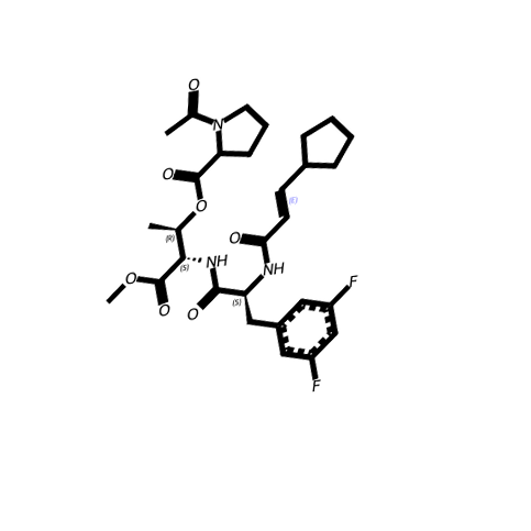 COC(=O)[C@@H](NC(=O)[C@H](Cc1cc(F)cc(F)c1)NC(=O)/C=C/C1CCCC1)[C@@H](C)OC(=O)C1CCCN1C(C)=O